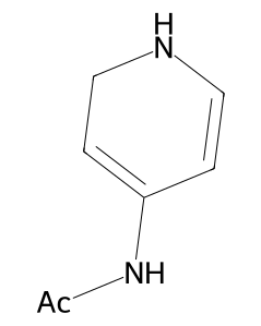 CC(=O)NC1=CCNC=C1